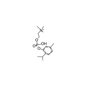 Cc1ccc(C(C)C)c(OP(=O)(O)OCC[N+](C)(C)C)c1